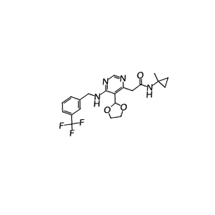 CC1(NC(=O)Cc2ncnc(NCc3cccc(C(F)(F)F)c3)c2C2OCCO2)CC1